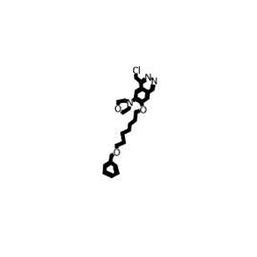 ClCc1nncc2cc(OCCCCCCCOCc3ccccc3)c(N3CCOCC3)cc12